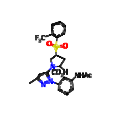 CC(=O)Nc1cccc(-n2nc(C)cc2N2CC(S(=O)(=O)c3ccccc3C(F)(F)F)CC2C(=O)O)c1